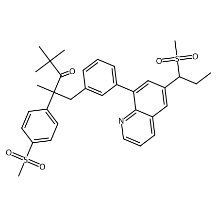 CCC(c1cc(-c2cccc(CC(C)(C(=O)C(C)(C)C)c3ccc(S(C)(=O)=O)cc3)c2)c2ncccc2c1)S(C)(=O)=O